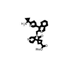 COC(=O)C1CC2(C1)C(=O)N(Cc1ncc3ccccc3c1-c1ccc(C3(N)CC3)nc1)c1cnccc12